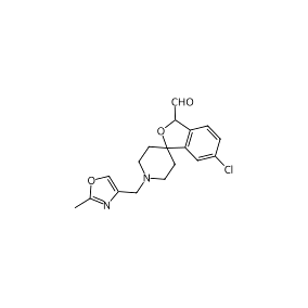 Cc1nc(CN2CCC3(CC2)OC(C=O)c2ccc(Cl)cc23)co1